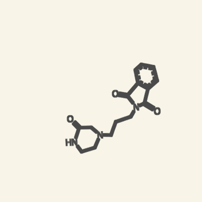 O=C1CN(CCCN2C(=O)c3ccccc3C2=O)CCN1